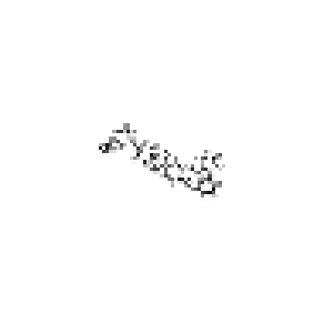 O=S(=O)(c1ccc2c(c1)OC(c1ccccc1)(c1ccccc1)O2)N1CCN(c2cccc(Cl)c2)CC1